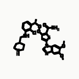 COc1cc2ncn(-c3cc(OO[C@H](C)c4cccc(NCC5CCNCC5)c4Cl)c(C(N)=O)s3)c2cc1OC